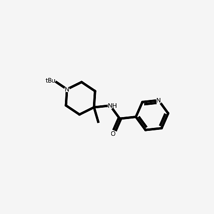 CC1(NC(=O)c2cccnc2)CCN(C(C)(C)C)CC1